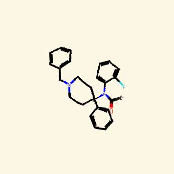 CCC(=O)N(c1ccccc1F)C1(c2ccccc2)CCN(Cc2ccccc2)CC1